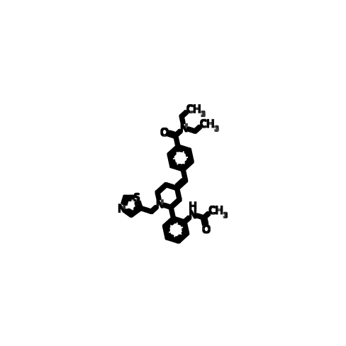 CCN(CC)C(=O)c1ccc(C=C2CCN(Cc3cncs3)C(c3ccccc3NC(C)=O)C2)cc1